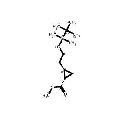 COC(=O)[C@H]1C[C@@H]1CCO[Si](C)(C)C(C)(C)C